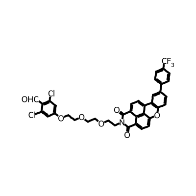 O=Cc1c(Cl)cc(OCCOCCOCCn2c(=O)c3ccc4oc5ccc(-c6ccc(C(F)(F)F)cc6)cc5c5ccc(c2=O)c3c45)cc1Cl